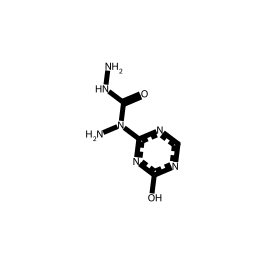 NNC(=O)N(N)c1ncnc(O)n1